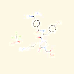 COc1ccc(C[C@H](NC(=O)c2ccc(C(=N)N)cc2)C(=O)N2CCN(CC(=O)O)C(=O)[C@@H]2CCCCN)cc1.O=C(O)C(F)(F)F